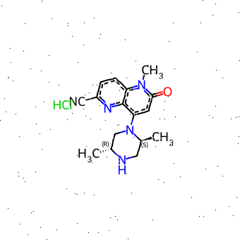 C[C@@H]1CN(c2cc(=O)n(C)c3ccc(C#N)nc23)[C@@H](C)CN1.Cl